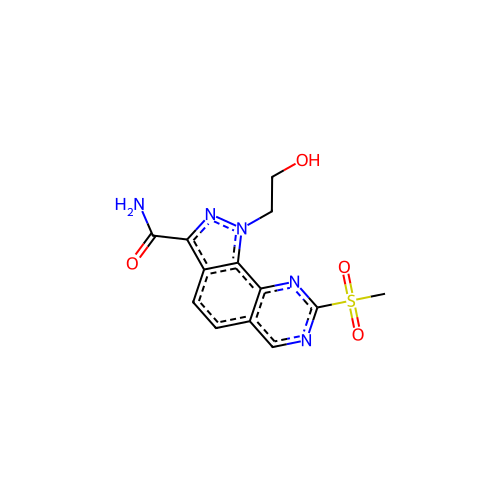 CS(=O)(=O)c1ncc2ccc3c(C(N)=O)nn(CCO)c3c2n1